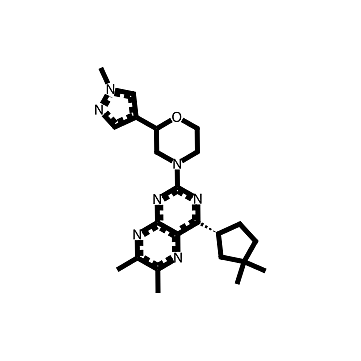 Cc1nc2nc(N3CCOC(c4cnn(C)c4)C3)nc([C@@H]3CCC(C)(C)C3)c2nc1C